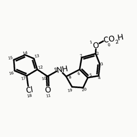 O=C(O)Oc1ccc2c(c1)C(NC(=O)c1ccccc1Cl)CC2